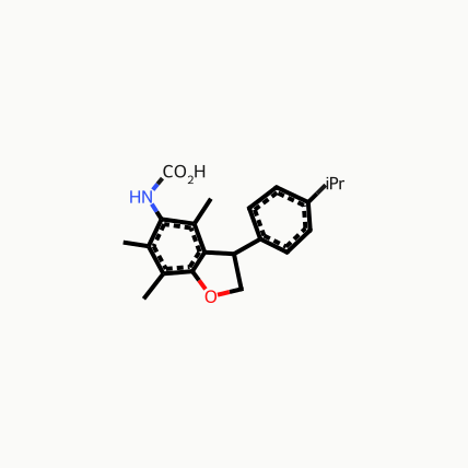 Cc1c(C)c2c(c(C)c1NC(=O)O)C(c1ccc(C(C)C)cc1)CO2